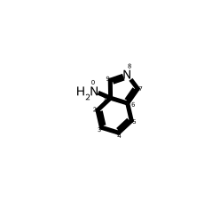 NC12C=CC=CC1=CN=C2